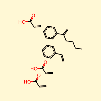 C=C(CCCC)c1ccccc1.C=CC(=O)O.C=CC(=O)O.C=CC(=O)O.C=Cc1ccccc1